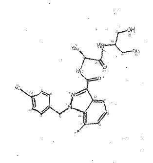 CC(C)(C)[C@H](NC(=O)c1nn(Cc2ccc(C#N)cc2)c2c(F)cccc12)C(=O)NC(CO)CO